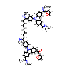 CC(=O)ON=C(C)c1ccc2c(c1)c1cc(C(=O)c3ccco3)ccc1n2-c1ccc(/C(CCCCCCCC/C(=N/OC(C)=O)c2ccc(-n3c4ccc(C(C)=NOC(C)=O)cc4c4cc(C(=NOC(C)=O)c5ccco5)ccc43)cc2)=N\OC(C)=O)cc1